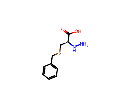 NN[C@@H](CSCc1ccccc1)C(=O)O